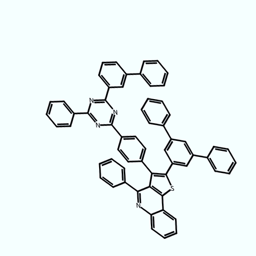 c1ccc(-c2cccc(-c3nc(-c4ccccc4)nc(-c4ccc(-c5c(-c6cc(-c7ccccc7)cc(-c7ccccc7)c6)sc6c5c(-c5ccccc5)nc5ccccc56)cc4)n3)c2)cc1